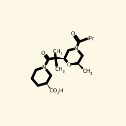 CC(C)C(=O)N1C[C@@H](C)O[C@@H](C(C)(C)C(=O)N2CCC[C@@H](C(=O)O)C2)C1